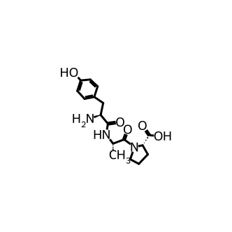 C[C@H](NC(=O)[C@@H](N)Cc1ccc(O)cc1)C(=O)N1CCC[C@H]1C(=O)O